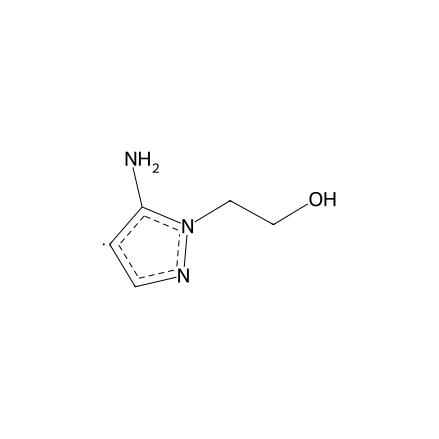 Nc1[c]cnn1CCO